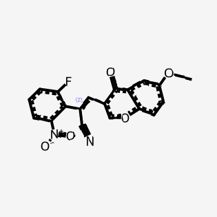 COc1ccc2occ(/C=C(\C#N)c3c(F)cccc3[N+](=O)[O-])c(=O)c2c1